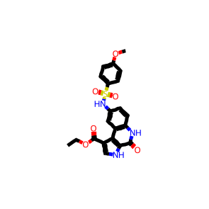 CCOC(=O)c1c[nH]c2c(=O)[nH]c3ccc(NS(=O)(=O)c4ccc(OC)cc4)cc3c12